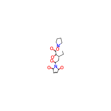 CCC(CC(=O)N1C(=O)C=CC1=O)C(=O)C(=O)ON1CCCC1